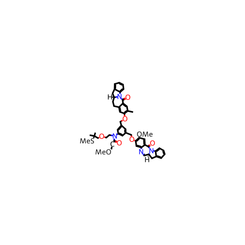 COCCC(=O)N(CCOCC(C)(C)SC)c1cc(COc2cc3c(cc2C)C(=O)N2c4ccccc4C[C@H]2CC3)cc(COc2cc3c(cc2OC)C(=O)N2c4ccccc4C[C@H]2C=N3)c1